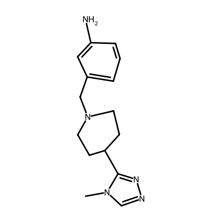 Cn1cnnc1C1CCN(Cc2cccc(N)c2)CC1